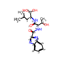 CC(C)C[C@H](NC(=O)[C@@H](NC(=O)c1cnc2ccccc2n1)[C@@H](C)O)B(O)O